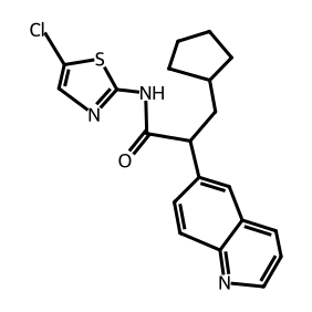 O=C(Nc1ncc(Cl)s1)C(CC1CCCC1)c1ccc2ncccc2c1